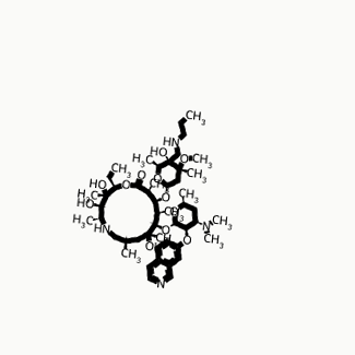 CCCNC[C@]1(O)[C@H](C)O[C@@H](O[C@H]2[C@H](C)[C@@H](O[C@@H]3O[C@H](C)C[C@H](N(C)C)[C@H]3Oc3ccc4ccncc4c3)[C@](C)(O)C[C@@H](C)CN[C@H](C)[C@@H](O)[C@](C)(O)[C@@H](CC)OC(=O)[C@@H]2C)C[C@@]1(C)OC